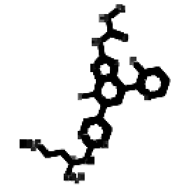 CCNC(=O)Nc1nc2c(F)c(-c3cnc(N[C@H](CCC(=O)O)C(=O)O)nc3)cc(-c3ncccc3F)c2s1